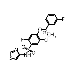 C[C@H](Oc1cc(F)c(S(=O)(=O)Nc2cscn2)cc1Cl)c1cccc(F)c1